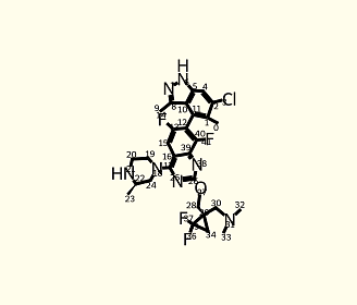 Cc1c(Cl)cc2[nH]nc(C)c2c1-c1c(F)cc2c(N3CCN[C@H](C)C3)nc(OC[C@@]3(CN(C)C)CC3(F)F)nc2c1F